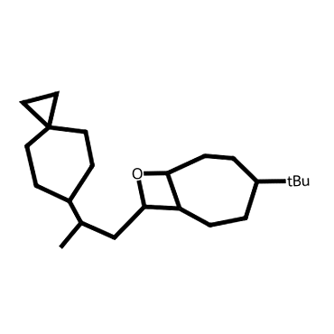 CC(CC1OC2CCC(C(C)(C)C)CCC21)C1CCC2(CC1)CC2